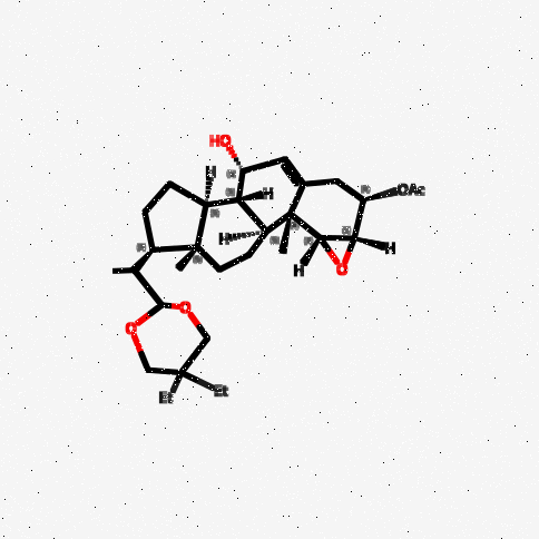 CCC1(CC)COC(C(C)[C@H]2CC[C@H]3[C@@H]4[C@H](O)C=C5C[C@@H](OC(C)=O)[C@@H]6O[C@@H]6[C@]5(C)[C@H]4CC[C@]23C)OC1